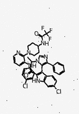 CC(c1ccc(Cl)cc1)n1cnc(-c2ccccc2)c1-c1c(C(=O)Nc2cccnc2N2CCC(NC(=O)C(F)(F)F)CC2)[nH]c2cc(Cl)ccc12